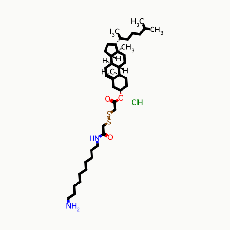 CC(C)CCCC(C)[C@H]1CC[C@H]2[C@@H]3CC=C4C[C@@H](OC(=O)CSSCC(=O)NCCCCCCCCCCN)CC[C@]4(C)[C@H]3CC[C@]12C.Cl